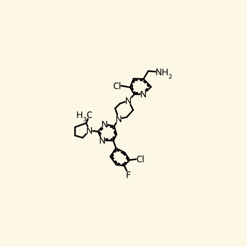 CC1CCCN1c1nc(-c2ccc(F)c(Cl)c2)cc(N2CCN(c3ncc(CN)cc3Cl)CC2)n1